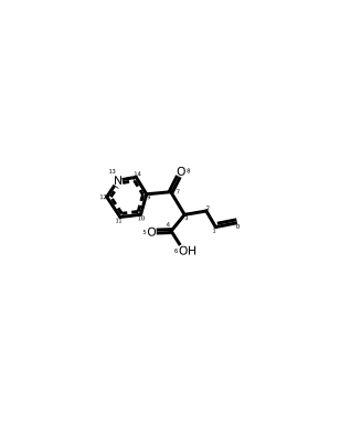 C=CCC(C(=O)O)C(=O)c1cccnc1